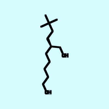 CC(C)(C)CC[C@@H](CO)CCCCCO